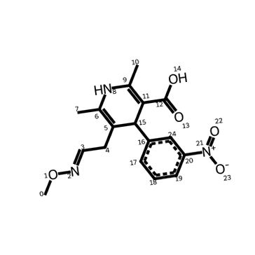 CON=CCC1=C(C)NC(C)=C(C(=O)O)C1c1cccc([N+](=O)[O-])c1